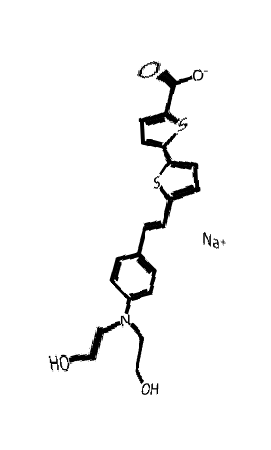 O=C([O-])c1ccc(-c2ccc(C=Cc3ccc(N(CCO)CCO)cc3)s2)s1.[Na+]